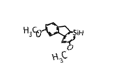 COc1ccc2c(c1)-c1cc(OC)c[siH]c1C2